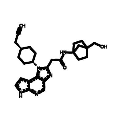 C#CC[C@H]1CC[C@H](n2c(CC(=O)NC34CCC(CO)(CC3)C4)nc3cnc4[nH]ccc4c32)CC1